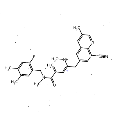 C=C(/C=C(/Cc1cc(C#N)c2ncc(C)cc2c1)NC)C(=O)N(C)Cc1cc(C)c(C)cc1F